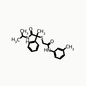 Cc1cccc(NC(=O)CSC(C)(C(=O)NC(C)C)c2ccccc2)c1